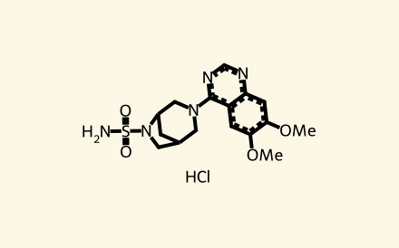 COc1cc2ncnc(N3CC4CC(C3)N(S(N)(=O)=O)C4)c2cc1OC.Cl